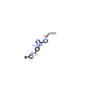 COCCC(=O)N1CCCC(C2=C3C=NC=C[N+]3(N)C(c3ccc(C(=O)Nc4cc(C5CC5)ccn4)cc3)=N2)C1